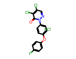 Cl.O=c1c(Cl)c(Cl)cnn1-c1ccc(Oc2ccc(F)cc2)cc1